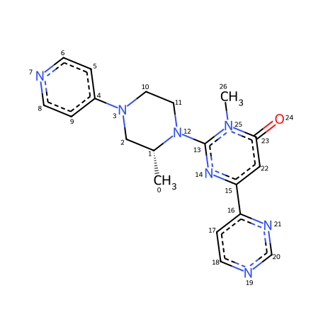 C[C@@H]1CN(c2ccncc2)CCN1c1nc(-c2ccncn2)cc(=O)n1C